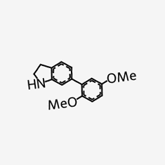 COc1ccc(OC)c(-c2ccc3c(c2)NCC3)c1